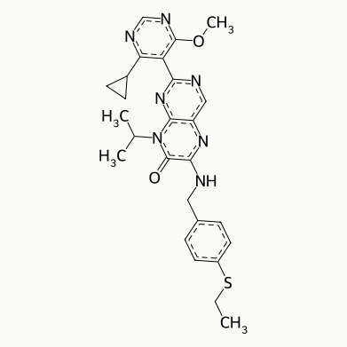 CCSc1ccc(CNc2nc3cnc(-c4c(OC)ncnc4C4CC4)nc3n(C(C)C)c2=O)cc1